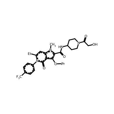 CCc1cc2c(c(OC(C)C)c(C(=O)NC3CCN(C(=O)CO)CC3)n2C)c(=O)n1-c1ccc(C(F)(F)F)cc1